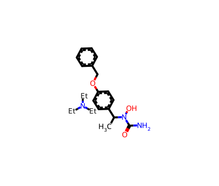 CC(c1ccc(OCc2ccccc2)cc1)N(O)C(N)=O.CCN(CC)CC